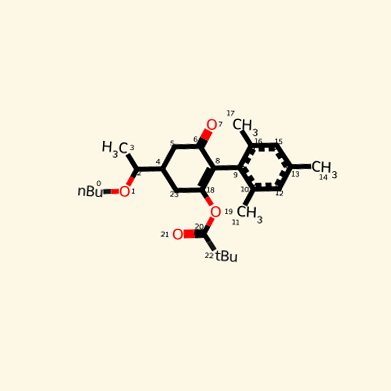 CCCCOC(C)C1CC(=O)C(c2c(C)cc(C)cc2C)=C(OC(=O)C(C)(C)C)C1